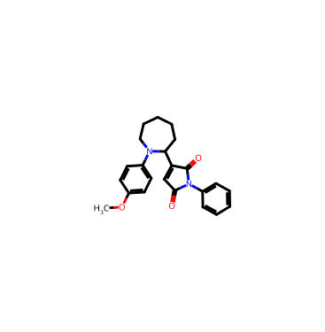 COc1ccc(N2CCCCCC2C2=CC(=O)N(c3ccccc3)C2=O)cc1